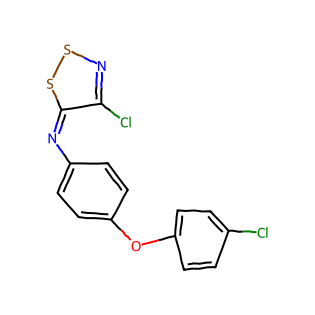 Clc1ccc(Oc2ccc(N=c3ssnc3Cl)cc2)cc1